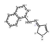 C1=C/C(=N/Nc2nncc3ccccc23)CS1